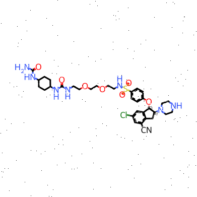 N#Cc1cc(Cl)cc2c1C[C@H](N1CCNCC1)[C@H]2Oc1ccc(S(=O)(=O)NCCOCCOCCNC(=O)NC2CCC(NC(N)=O)CC2)cc1